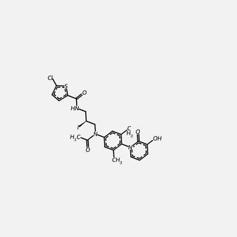 CC(=O)N(C[C@@H](I)CNC(=O)c1ccc(Cl)s1)c1cc(C)c(-n2cccc(O)c2=O)c(C)c1